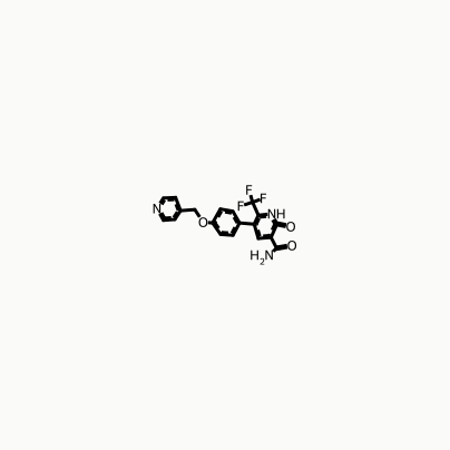 NC(=O)c1cc(-c2ccc(OCc3ccncc3)cc2)c(C(F)(F)F)[nH]c1=O